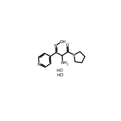 Cl.Cl.NC(C(=O)N1CCCC1)C(=NO)c1ccncc1